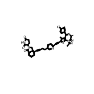 Cc1c(C#Cc2ccc(CCC#Cc3cccc4c3CN(C3CCC(=O)NC3=O)C4=O)cn2)sc2c1C(c1ccc(Cl)cc1)=N[C@@H](C)c1nnc(C)n1-2